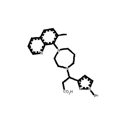 Cc1ccc2cccnc2c1N1CCCN(C(CC(=O)O)c2ccn(C(C)C)n2)CC1